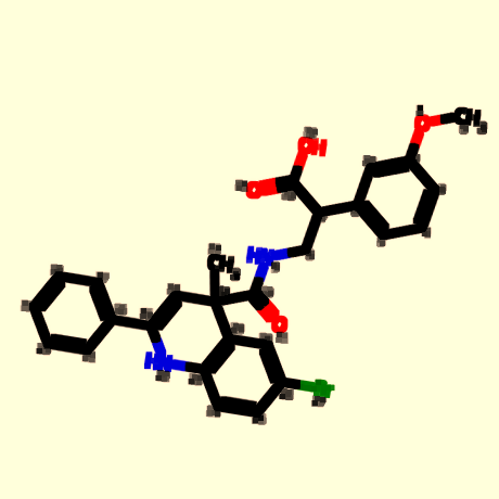 COc1cccc(C(CNC(=O)C2(C)C=C(c3ccccc3)Nc3ccc(Br)cc32)C(=O)O)c1